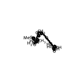 COc1cccc(Nc2c(C(N)=O)cnc3c(C)cc(Cc4cccc(C(=O)N(C)c5ccc(CCCCOCCCCCCNC[C@H](O)c6ccc(O)c7[nH]c(=O)ccc67)cc5)c4)cc23)c1